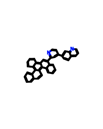 c1cnc2cc(-c3ccnc(-c4cc5c6ccccc6c6c7ccccc7ccc6c5c5ccccc45)c3)ccc2c1